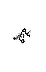 CC(C)C=C(C#N)C(=O)N1CCCC1CCC(=O)NC(Cc1ccccc1)B(O)O